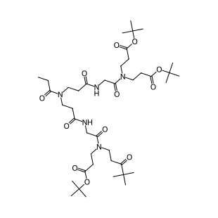 CCC(=O)N(CCC(=O)NCC(=O)N(CCC(=O)OC(C)(C)C)CCC(=O)OC(C)(C)C)CCC(=O)NCC(=O)N(CCC(=O)OC(C)(C)C)CCC(=O)C(C)(C)C